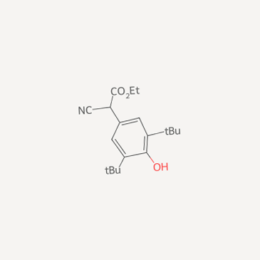 CCOC(=O)C(C#N)c1cc(C(C)(C)C)c(O)c(C(C)(C)C)c1